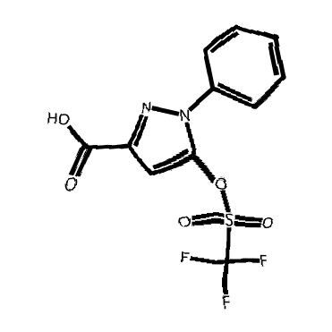 O=C(O)c1cc(OS(=O)(=O)C(F)(F)F)n(-c2ccccc2)n1